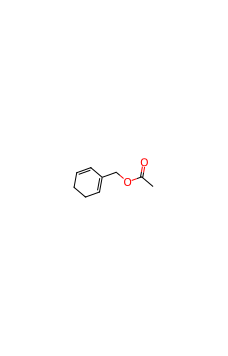 CC(=O)OCC1=CCCC=C1